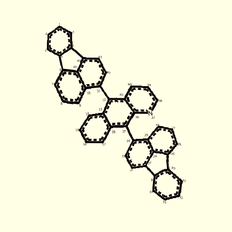 c1ccc2c(c1)-c1cccc3c(-c4c5ccccc5c(-c5ccc6c7c(cccc57)-c5ccccc5-6)c5ncccc45)ccc-2c13